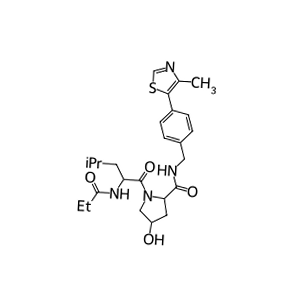 CCC(=O)NC(CC(C)C)C(=O)N1CC(O)CC1C(=O)NCc1ccc(-c2scnc2C)cc1